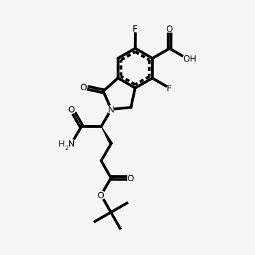 CC(C)(C)OC(=O)CC[C@@H](C(N)=O)N1Cc2c(cc(F)c(C(=O)O)c2F)C1=O